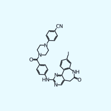 N#Cc1ccc(N2CCN(C(=O)c3ccc(Nc4ncc5c(n4)-c4ccc(I)cc4NC(=O)C5)cc3)CC2)cc1